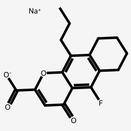 CCCc1c2c(c(F)c3c(=O)cc(C(=O)[O-])oc13)CCCC2.[Na+]